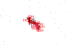 C[C@H](CCC(=O)Nc1ccc(COCC(C(=O)O)N(CCN(CCN(CC(=O)O)CC(=O)O)CC(=O)O)CC(=O)O)cc1)[C@H]1CCC2C3C(C[C@H](O)[C@@]21C)[C@@]1(C)CC[C@@H](O)C[C@H]1C[C@H]3O